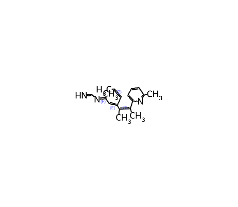 C\C=C/C(=C\C(C)=N\C=N)C(/C)=C(/C)c1cccc(C)n1